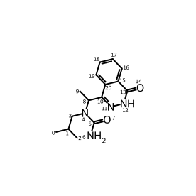 CC(C)CN(C(N)=O)C(C)c1n[nH]c(=O)c2ccccc12